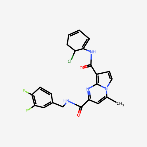 Cc1cc(C(=O)NCc2ccc(F)c(F)c2)nc2c(C(=O)NC3=CC=CCC3Cl)ccn12